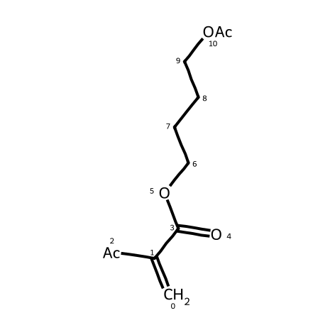 C=C(C(C)=O)C(=O)OCCCCOC(C)=O